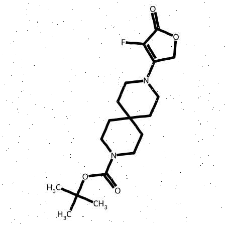 CC(C)(C)OC(=O)N1CCC2(CC1)CCN(C1=C(F)C(=O)OC1)CC2